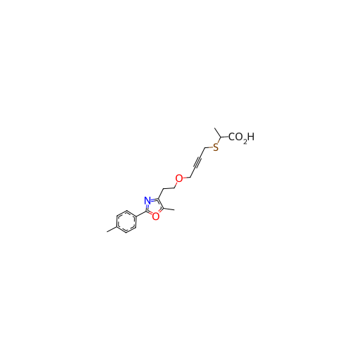 Cc1ccc(-c2nc(CCOCC#CCSC(C)C(=O)O)c(C)o2)cc1